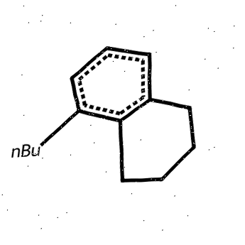 [CH2]CCCc1cccc2c1CCCC2